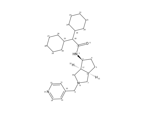 O=C(N[C@H]1CC[C@H]2CN(Cc3ccncc3)C[C@H]21)C(C1CCCCC1)C1CCCCC1